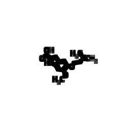 COc1cc2[nH]c(C(=O)O)cc2cc1OCCN(C)C